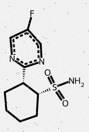 NS(=O)(=O)[C@@H]1CCCC[C@@H]1c1ncc(F)cn1